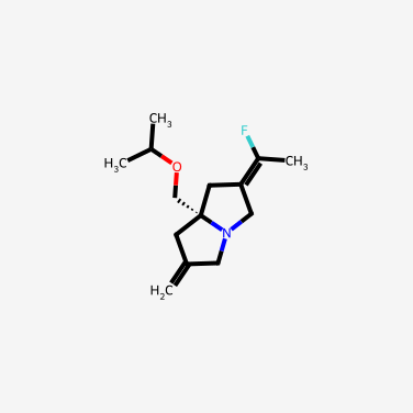 C=C1CN2C/C(=C(\C)F)C[C@]2(COC(C)C)C1